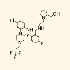 O=C(Nc1ccc(Cl)cc1N1CCN(CCC(F)(F)F)CC1)c1ccc(F)cc1CNCCN1CCCC1CO